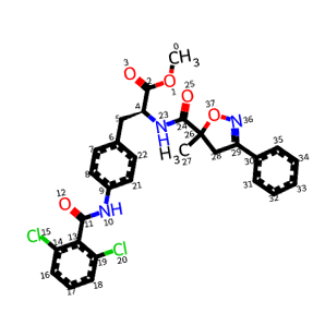 COC(=O)[C@H](Cc1ccc(NC(=O)c2c(Cl)cccc2Cl)cc1)NC(=O)C1(C)CC(c2ccccc2)=NO1